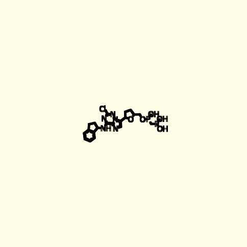 OP(O)CP(O)OCC1CCC(c2cnc3c(NC4CCc5ccccc54)nc(Cl)nn23)O1